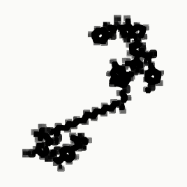 COc1ccc(COC(=O)c2nc(N3CCCc4c3nnc(Nc3nc5ccccc5s3)c4C)ccc2-c2cnn(CC34CC5(C)CC(C)(C3)CC(OCCN(C)CCCCCCCCCCCCCC(=O)N[C@H](C(=O)N3C[C@H](O)C[C@H]3C(=O)N[C@@H](C)c3ccc(-c6scnc6C)cc3)C(C)(C)C)(C5)C4)c2C)cc1